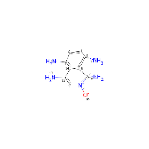 Nc1ccc(N)c2c(N)[n+]([O-])cc(N)c12